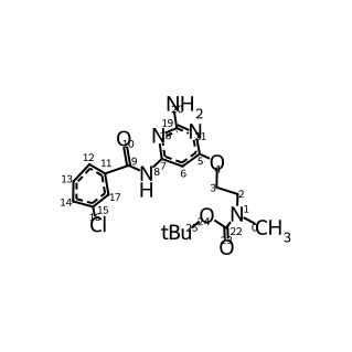 CN(CCOc1cc(NC(=O)c2cccc(Cl)c2)nc(N)n1)C(=O)OC(C)(C)C